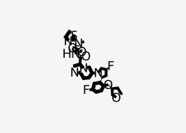 CN(c1nccs1)S(=O)(=O)NC(=O)c1cnc2ccc(N3C[C@@H](F)C[C@@H]3c3cc(F)ccc3O[C@@H]3CCOC3)cn12